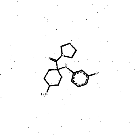 NC1CCC(Nc2cccc(Br)c2)(C(=O)N2CCCC2)CC1